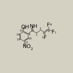 N=C(CCC(F)=C(F)F)c1cc([N+](=O)[O-])ccc1O